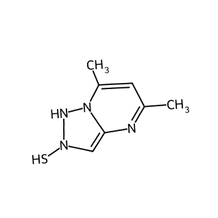 CC1=CC(C)=NC2=CN(S)NN12